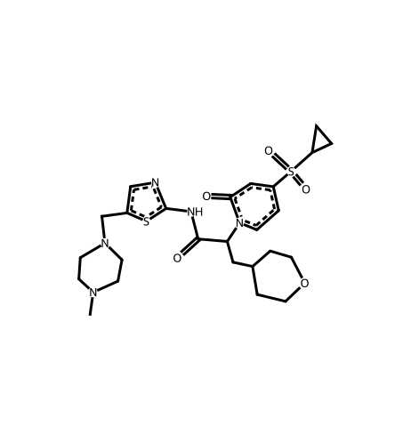 CN1CCN(Cc2cnc(NC(=O)C(CC3CCOCC3)n3ccc(S(=O)(=O)C4CC4)cc3=O)s2)CC1